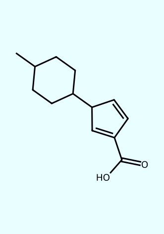 CC1CCC(C2C=CC(C(=O)O)=C2)CC1